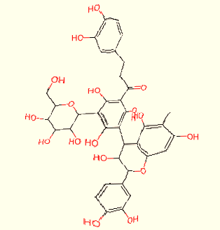 Cc1c(O)cc2c(c1O)C(c1c(O)c(C(=O)CCc3ccc(O)c(O)c3)c(O)c(C3OC(CO)C(O)C(O)C3O)c1O)C(O)C(c1ccc(O)c(O)c1)O2